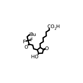 CCC(C)CC(F)(F)C(=O)CCC1C(O)CC(=O)C1CCCCCCC(=O)O